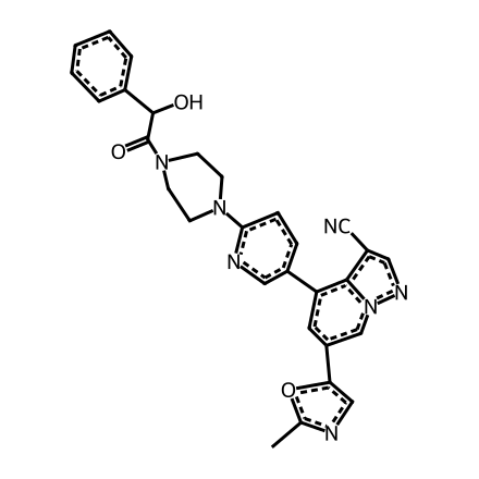 Cc1ncc(-c2cc(-c3ccc(N4CCN(C(=O)C(O)c5ccccc5)CC4)nc3)c3c(C#N)cnn3c2)o1